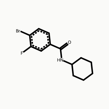 O=C(NC1CCCCC1)c1ccc(Br)c(F)c1